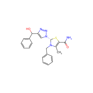 CC1=C(C(N)=O)S[C@@H](n2cc(C(O)c3ccccc3)nn2)N1Cc1ccccc1